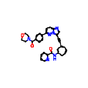 O=C(NC1=CC(C#Cc2cnc3ccc(-c4ccc(C(=O)N5CCOCC5)cc4)nn23)=CC=CC1)c1ccccn1